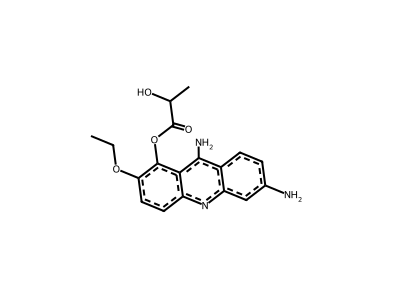 CCOc1ccc2nc3cc(N)ccc3c(N)c2c1OC(=O)C(C)O